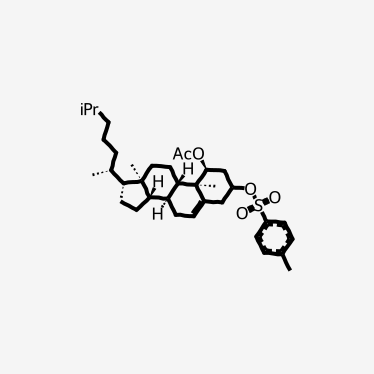 CC(=O)O[C@H]1CC(OS(=O)(=O)c2ccc(C)cc2)CC2=CC[C@H]3[C@@H]4CC[C@H]([C@H](C)CCCC(C)C)[C@@]4(C)CC[C@@H]3[C@]21C